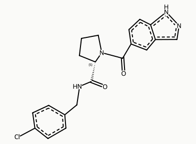 O=C(NCc1ccc(Cl)cc1)[C@@H]1CCCN1C(=O)c1ccc2[nH]ncc2c1